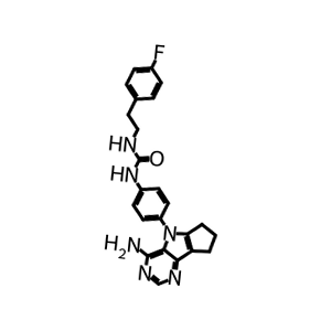 Nc1ncnc2c3c(n(-c4ccc(NC(=O)NCCc5ccc(F)cc5)cc4)c12)CCC3